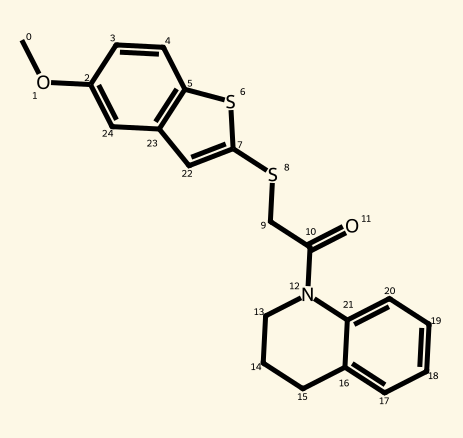 COc1ccc2sc(SCC(=O)N3CCCc4ccccc43)cc2c1